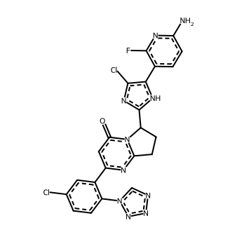 Nc1ccc(-c2[nH]c(C3CCc4nc(-c5cc(Cl)ccc5-n5cnnn5)cc(=O)n43)nc2Cl)c(F)n1